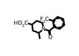 CC1CC(C(=O)O)CCN1C(=O)c1ccccc1C(F)(F)F